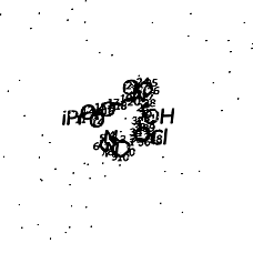 C1CCC2=NCCCN2CC1.CC(C)OC(=O)COCCCCN1C(=O)CCC[C@@H]1/C=C/C(O)Cc1cccc(Cl)c1